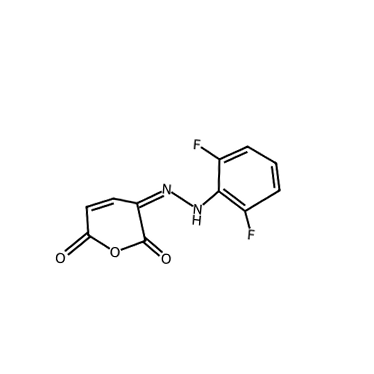 O=C1C=C/C(=N/Nc2c(F)cccc2F)C(=O)O1